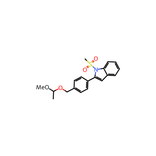 COC(C)OCc1ccc(-c2cc3ccccc3n2S(C)(=O)=O)cc1